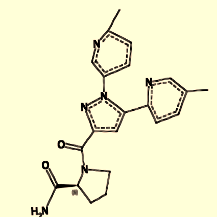 Cc1ccc(-c2cc(C(=O)N3CCC[C@H]3C(N)=O)nn2-c2ccc(C)nc2)nc1